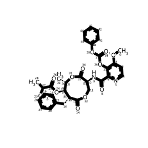 COc1ccnc(C(=O)N[C@H]2COC(=O)[C@H](Cc3ccccc3)[C@@H](OC(=O)C(C)C)[C@H](C)OC2=O)c1OC(=O)Oc1ccccc1